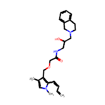 C=C/C=C\c1c(COCC(=O)NCC(O)CN2CCc3ccccc3C2)c(C)cn1C